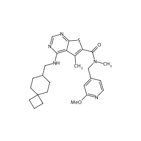 COc1cc(CN(C)C(=O)c2sc3ncnc(NCC4CCC5(CCC5)CC4)c3c2C)ccn1